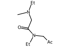 CCN(C)CC(=O)N(CC)CC(C)=O